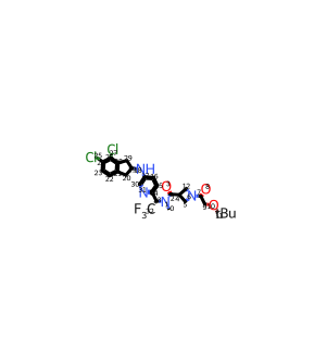 CN(C(=O)C1CN(C(=O)COC(C)(C)C)C1)C(c1ccc(NC2Cc3ccc(Cl)c(Cl)c3C2)cn1)C(F)(F)F